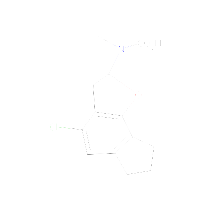 CN(C(=O)O)C1Cc2c(Cl)cc3c(c2O1)CCC3